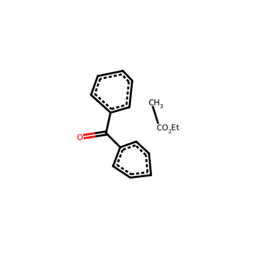 CCOC(C)=O.O=C(c1ccccc1)c1ccccc1